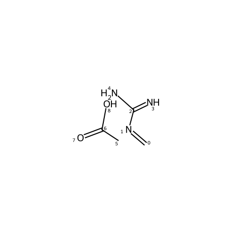 C=NC(=N)N.CC(=O)O